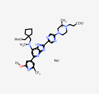 CCOc1cc(-c2cc(N(C)CC3(COC)CCCC3)c3[nH]c(-c4cnc(N5CCN(CCC(=O)[O-])[C@H](C)C5)cn4)nc3n2)cc(C(F)(F)F)n1.[Na+]